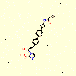 C[C@H](O)c1nccn1[C@@H](/C=C/c1ccc(-c2ccc(C3CC(NC(=O)CC#N)C3)cc2)cc1)CO